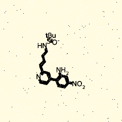 CC(C)(C)[S@+]([O-])NCCC=Cc1cc(-c2ccc([N+](=O)[O-])cc2N)ccn1